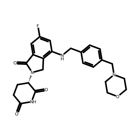 O=C1CC[C@H](N2Cc3c(NCc4ccc(CN5CCOCC5)cc4)cc(F)cc3C2=O)C(=O)N1